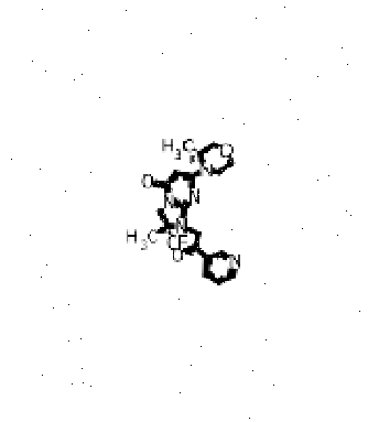 C[C@@H]1COCCN1c1cc(=O)n2c(n1)N(CC(=O)c1cccnc1)[C@](C)(C(F)(F)F)C2